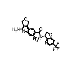 CN(C(=O)c1cc2c3c(c(N)nc2cc1F)COC3)[C@H]1COc2cc(C(F)(F)F)cnc21